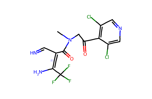 CN(CC(=O)c1c(Cl)cncc1Cl)C(=O)/C(C=N)=C(/N)C(F)(F)F